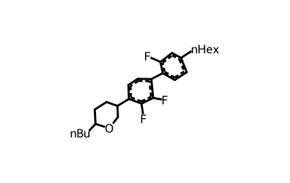 CCCCCCc1ccc(-c2ccc(C3CCC(CCCC)OC3)c(F)c2F)c(F)c1